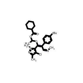 C/N=C\C(=C(\OC(C)OC(=O)C1CCCCC1)c1c(Cl)c(C)nn1C)c1ccc(C(C)(C)C)cc1